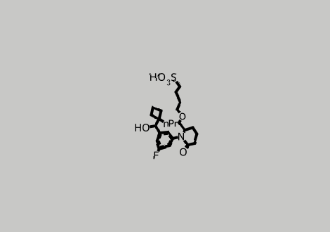 CCCC1(C(O)c2cc(F)cc(N3C(=O)CCCC3COCCCCS(=O)(=O)O)c2)CCC1